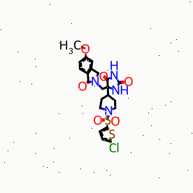 COc1ccc2c(c1)CN(CC1(C3CCN(S(=O)(=O)c4ccc(Cl)s4)CC3)NC(=O)NC1=O)C2=O